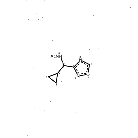 CC(=O)NC(c1ncon1)C1CC1